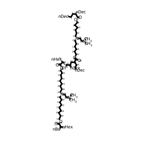 CCCCCCCCCCCCC(CCCCCCCCCC)C(=O)OCCCCCCN(CCCCCCOC(=O)C(CCCCCCCCCCCC)CC(CCCCCCCC)C(CC)CC(CCCCCC)C(=O)OCCCCCCCCCN(CCCCCCCCCOC(=O)C(CCCC)CCCCCC)CCN(C)C)CCN(C)C